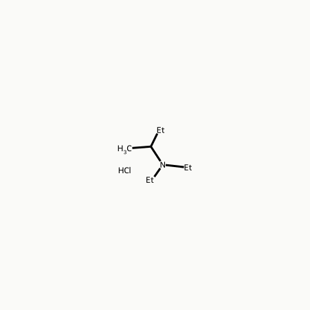 CCC(C)N(CC)CC.Cl